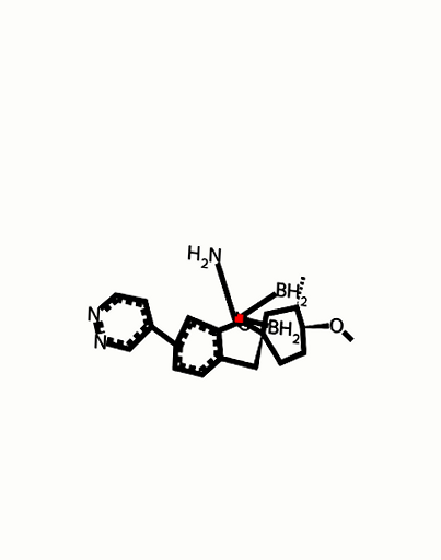 BC1(B)OC(N)=N[C@]12c1cc(-c3ccnnc3)ccc1C[C@@]21CC[C@H](OC)[C@@H](C)C1